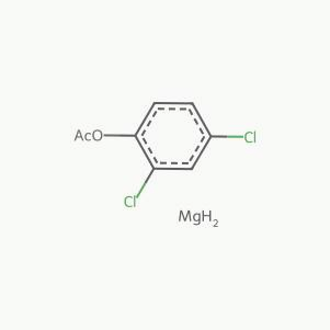 CC(=O)Oc1ccc(Cl)cc1Cl.[MgH2]